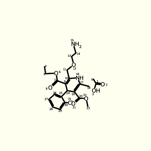 CC(=O)O.CCOC(=O)C1=C(COCCN)NC(C)=C(C(=O)OC)C1c1ccccc1Cl